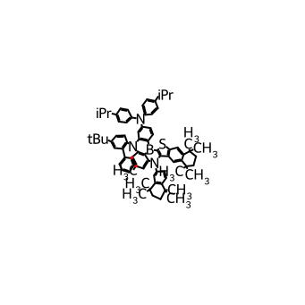 Cc1cc2c3c(c1)N(c1ccc4c(c1)C(C)(C)CCC4(C)C)c1c(sc4cc5c(cc14)C(C)(C)CCC5(C)C)B3c1ccc(N(c3ccc(C(C)C)cc3)c3ccc(C(C)C)cc3)cc1N2c1ccc(C(C)(C)C)cc1-c1ccccc1